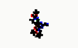 C[C@@H](Cc1sc2c(N(Cc3cccs3)C(=O)OC(C)(C)C)nc(C#N)nc2c1Br)NC(=O)OC(C)(C)C